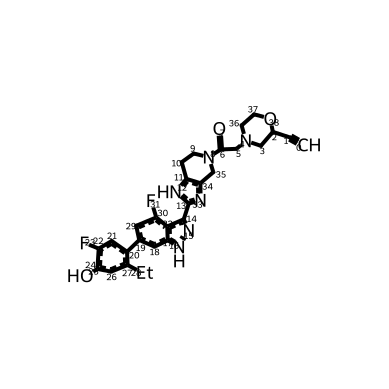 C#CC1CN(CC(=O)N2CCc3[nH]c(-c4n[nH]c5cc(-c6cc(F)c(O)cc6CC)cc(F)c45)nc3C2)CCO1